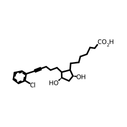 O=C(O)CCCCCCC1C(CCCC#Cc2ccccc2Cl)[C@H](O)C[C@@H]1O